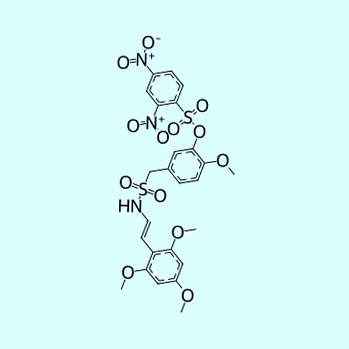 COc1cc(OC)c(/C=C/NS(=O)(=O)Cc2ccc(OC)c(OS(=O)(=O)c3ccc([N+](=O)[O-])cc3[N+](=O)[O-])c2)c(OC)c1